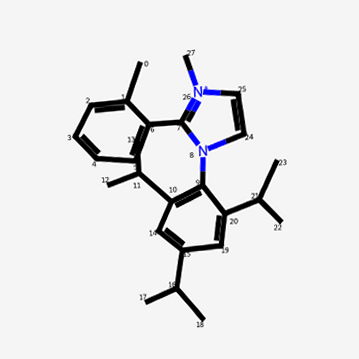 Cc1ccccc1-c1n(-c2c(C(C)C)cc(C(C)C)cc2C(C)C)cc[n+]1C